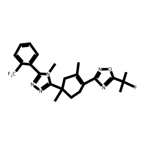 CC1=C(c2noc(C(C)(C)F)n2)CCC(C)(c2nnc(-c3ccccc3C(F)(F)F)n2C)C1